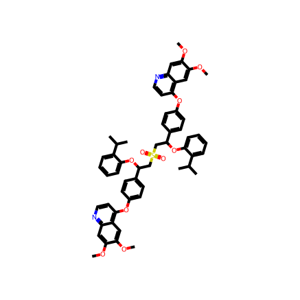 COc1cc2nccc(Oc3ccc(C(CS(=O)(=O)CC(Oc4ccccc4C(C)C)c4ccc(Oc5ccnc6cc(OC)c(OC)cc56)cc4)Oc4ccccc4C(C)C)cc3)c2cc1OC